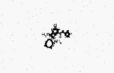 Cc1c([C@H]2CCCCCC[C@H]2N)sc2c(NCc3cccs3)cc(Cl)nc12